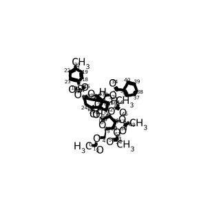 CC(=O)OC[C@H]1O[C@@H](O[C@@]23C[C@H]4[C@@]5(OS(=O)(=O)c6ccc(C)cc6)C[C@]2(C)O[C@H](O5)[C@]43COC(=O)c2ccccc2)[C@H](OC(C)=O)[C@@H](OC(C)=O)[C@@H]1OC(C)=O